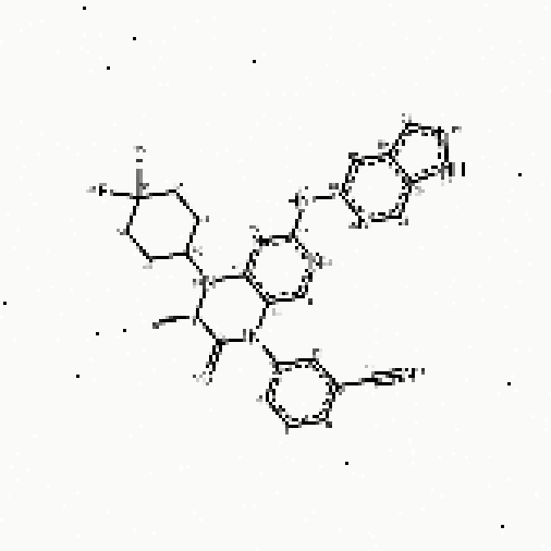 C[C@@H]1C(=O)N(c2cccc(C#N)c2)c2cnc(Nc3cc4cn[nH]c4cn3)nc2N1C1CCC(F)(F)CC1